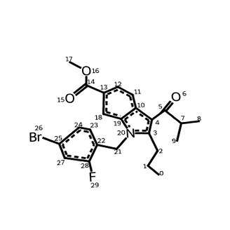 CCCc1c(C(=O)C(C)C)c2ccc(C(=O)OC)cc2n1Cc1ccc(Br)cc1F